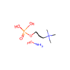 C[N+](C)(C)CCOP(=O)(O)O.NO